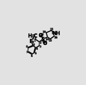 C=CC(Cc1ccccc1F)S(=O)(=O)C1CCNCC1